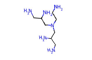 NCCN(CC(N)CN)CC(N)CN